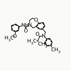 COc1cccc(NC(=O)N2CCOc3ccc(CN(C(=O)C(C)C)c4ccc(C)cc4)cc3C2)c1